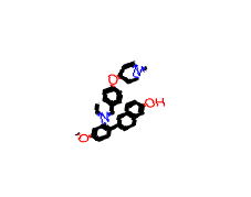 CCN(Cc1ccc(OC2CCN(C)CC2)cc1)c1cc(OC)ccc1C1CCc2cc(O)ccc2C1